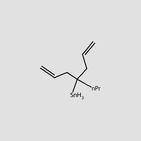 C=CC[C]([SnH3])(CC=C)CCC